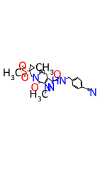 C[C@@H]1Cc2c(C(=O)NCc3ccc(C#N)cc3)nn(C)c2C(=O)N1CC1(S(C)(=O)=O)CC1